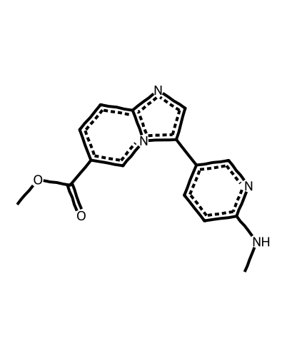 CNc1ccc(-c2cnc3ccc(C(=O)OC)cn23)cn1